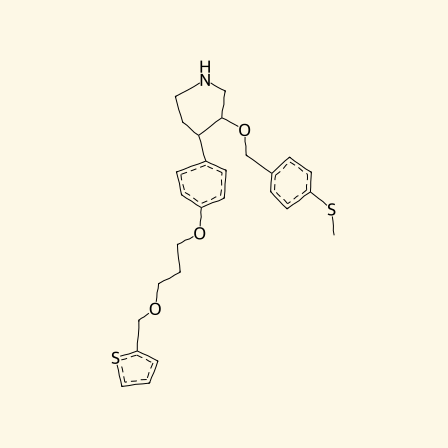 CSc1ccc(COC2CNCCC2c2ccc(OCCCOCc3cccs3)cc2)cc1